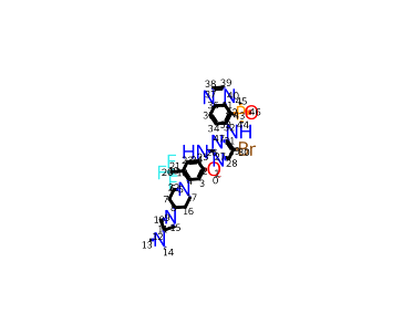 COc1cc(N2CCC(N3CC(N(C)C)C3)CC2)c(C(F)(F)F)cc1Nc1ncc(Br)c(Nc2ccc3nccnc3c2P(C)(C)=O)n1